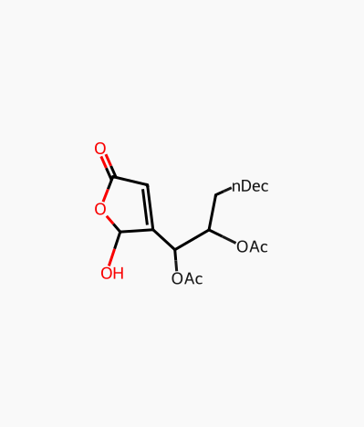 CCCCCCCCCCCC(OC(C)=O)C(OC(C)=O)C1=CC(=O)OC1O